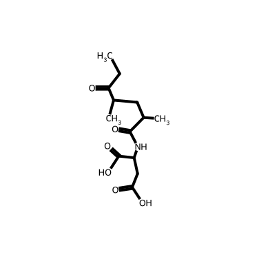 CCC(=O)C(C)CC(C)C(=O)NC(CC(=O)O)C(=O)O